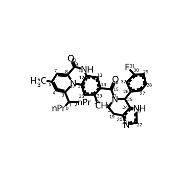 CCCC(CCC)C1=C=C(C)C=C2C(=O)Nc3cc(C(=O)N4CCc5nc[nH]c5C4c4cccc(F)c4)c(C)cc3N12